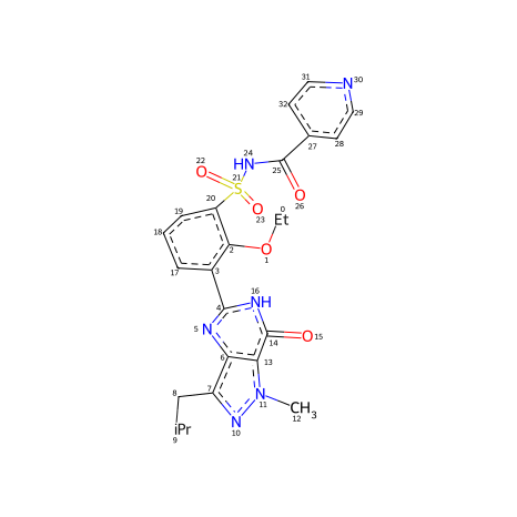 CCOc1c(-c2nc3c(CC(C)C)nn(C)c3c(=O)[nH]2)cccc1S(=O)(=O)NC(=O)c1ccncc1